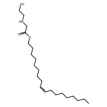 CCCCCCCC/C=C\CCCCCCCCOC(=O)CNCCO